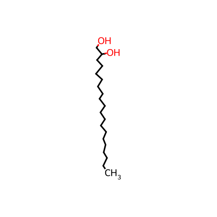 CCCCCCCCCCCCCCCCCC[C](O)CO